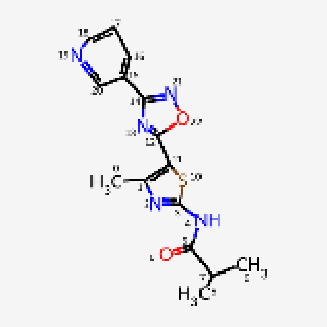 Cc1nc(NC(=O)C(C)C)sc1-c1nc(-c2cccnc2)no1